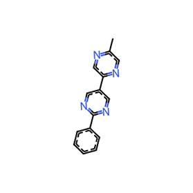 Cc1cnc(-c2cnc(-c3ccccc3)nc2)cn1